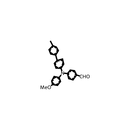 COc1ccc(N(c2ccc(C=O)cc2)c2ccc(-c3ccc(C)cc3)cc2)cc1